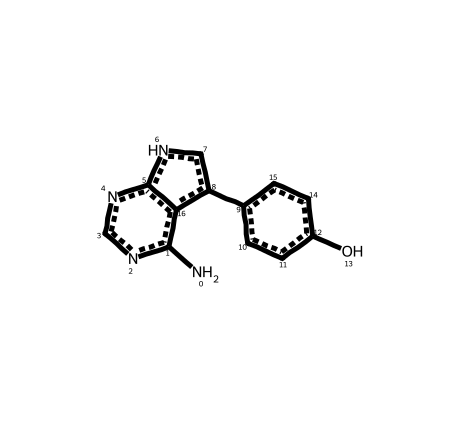 Nc1ncnc2[nH]cc(-c3ccc(O)cc3)c12